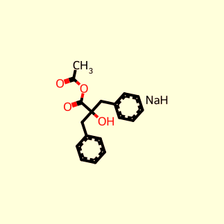 CC(=O)OC(=O)C(O)(Cc1ccccc1)Cc1ccccc1.[NaH]